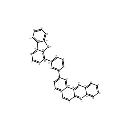 c1cc(-c2ccc3ccc4nc5ccccc5nc4c3c2)cc(-c2cccc3c2sc2ccccc23)c1